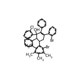 Cc1c(C)c(C)c(C2CC(c3ccccc3Br)=C(c3ccccc3)C(O)(c3ccccc3Cl)C2c2ccccc2)c(Br)c1C